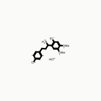 CCc1cc(OC)c(OC)cc1C(N)CCc1ccc(Cl)cc1.Cl